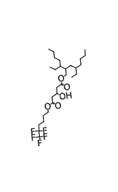 CCCCC(CC)CC(COC(=O)CC(O)CC(=O)OCCCCC(F)(F)C(F)(F)F)C(CC)CCCC